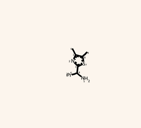 Cc1nc(C(N)C(C)C)sc1C